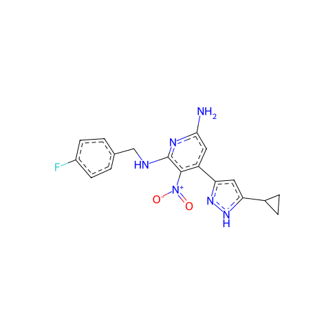 Nc1cc(-c2cc(C3CC3)[nH]n2)c([N+](=O)[O-])c(NCc2ccc(F)cc2)n1